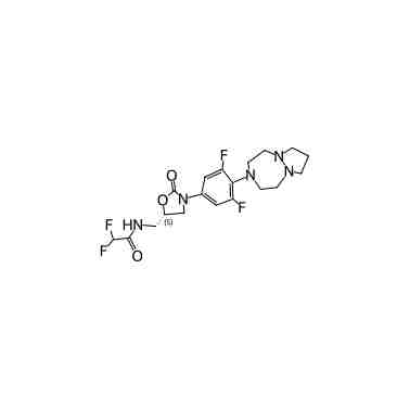 O=C(NC[C@H]1CN(c2cc(F)c(N3CCN4CCCN4CC3)c(F)c2)C(=O)O1)C(F)F